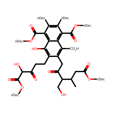 CCCCCCCCCCOC(=O)CC(C)C(CO)C(=O)Cc1c(CCC(=O)C(O)C(=O)OCCCCCCCCCC)c(O)c2c(C(=O)OCCCCCCCCCC)c(CCCCCCCCCC)c(CCCCCCCCCC)c(C(=O)OCCCCCCCCCC)c2c1C(=O)O